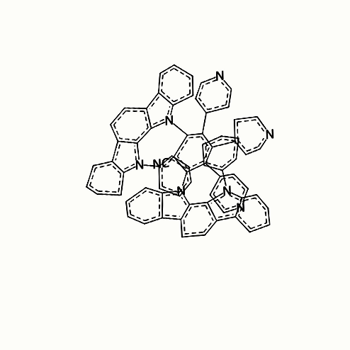 N#Cc1c(-n2c3ccccc3c3ccc4c5ccccc5n(-c5ccccc5)c4c32)c(-c2ccncc2)c(-c2ccncc2)c(-c2ccncc2)c1-n1c2ccccc2c2ccc3c4ccccc4n(-c4ccccc4)c3c21